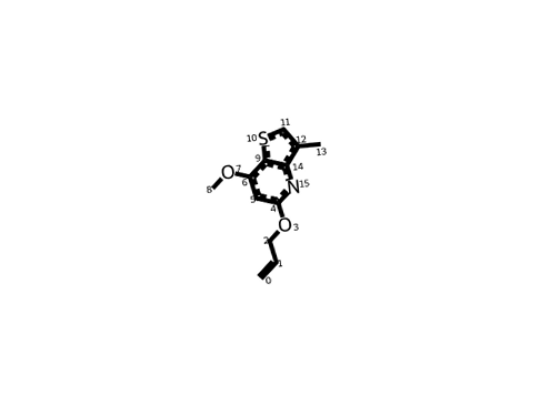 C=CCOc1cc(OC)c2scc(C)c2n1